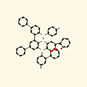 CC(C)(C)c1ccc(N2B3c4cc5c(cc4N(c4ccc(C(C)(C)C)cc4-c4ccccc4)c4cc(-c6ccccc6)cc(c43)-c3cc(-c4ccccc4)ccc32)oc2ccccc25)cc1